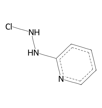 ClNNc1ccccn1